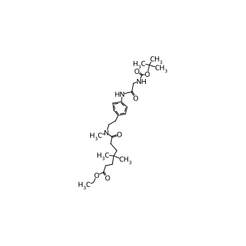 CCOC(=O)CCC(C)(C)CCC(=O)N(C)CCc1ccc(NC(=O)CNC(=O)OC(C)(C)C)cc1